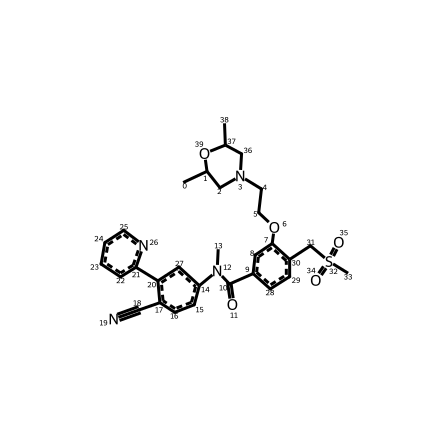 CC1CN(CCOc2cc(C(=O)N(C)c3ccc(C#N)c(-c4ccccn4)c3)ccc2CS(C)(=O)=O)CC(C)O1